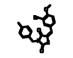 COc1ccc(C=C2SC(=O)N(Cc3ccc(C)cc3)C2=O)cc1Br